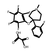 CN1CCC(Oc2c(F)c(F)c(F)c(F)c2F)(c2ccccc2F)CC1.O=C(O)C(=O)O